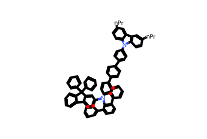 CCCc1ccc2c(c1)c1cc(CCC)ccc1n2-c1ccc(-c2ccc(-c3ccc(N(c4ccc5c(c4)C(c4ccccc4)(c4ccccc4)c4ccccc4-5)c4c(-c5ccccc5)cccc4-c4ccccc4)cc3)cc2)cc1